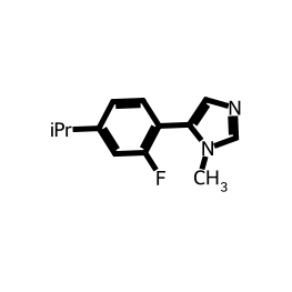 CC(C)c1ccc(-c2cncn2C)c(F)c1